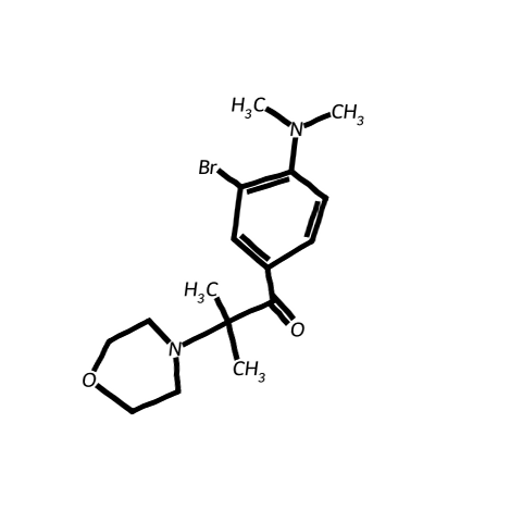 CN(C)c1ccc(C(=O)C(C)(C)N2CCOCC2)cc1Br